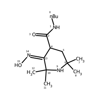 CCCCNC(=O)C1CC(C)(C)NC(C)(C)C1=NO